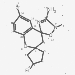 CCC1CCC2(C1)CC1(N=C(N)N(C)O1)c1cc(Br)ccc1O2